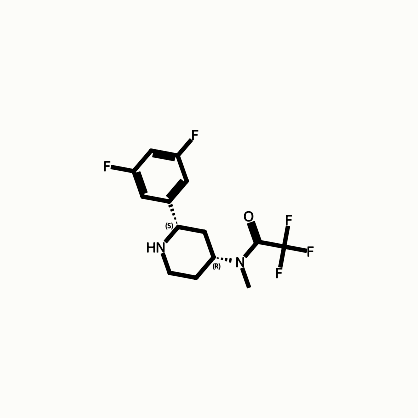 CN(C(=O)C(F)(F)F)[C@@H]1CCN[C@H](c2cc(F)cc(F)c2)C1